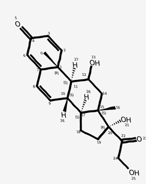 C[C@]12C=CC(=O)C=C1C=C[C@@H]1[C@@H]2C(O)C[C@@]2(C)[C@H]1CC[C@]2(O)C(=O)CO